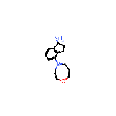 NC1CCc2c1cccc2N1CCCOCC1